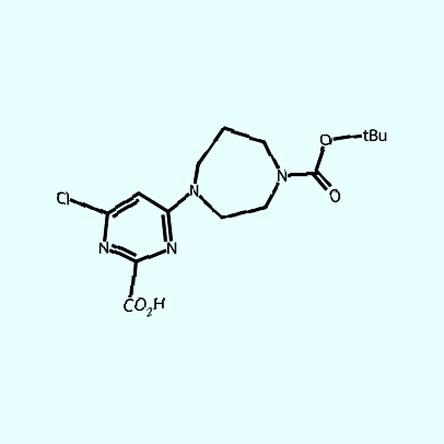 CC(C)(C)OC(=O)N1CCCN(c2cc(Cl)nc(C(=O)O)n2)CC1